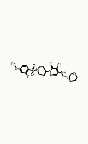 CC(C)Oc1ccc(S(=O)(=O)N2CCC(n3ncc(NC[C@H]4CCCOC4)c(Cl)c3=O)CC2)c(F)c1